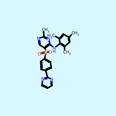 Cc1cc(C)c(Nc2nc(C)ncc2S(=O)(=O)c2ccc(-c3ncccn3)cc2)c(C)c1